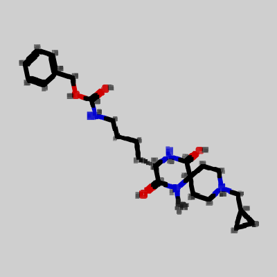 CCCN1C(=O)[C@H](CCCCNC(=O)OCc2ccccc2)NC(=O)C12CCN(CC1CC1)CC2